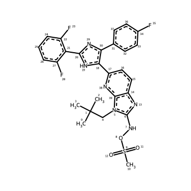 CC(C)(C)Cn1c(NOS(C)(=O)=O)nc2ccc(-c3[nH]c(-c4c(F)cccc4F)nc3-c3ccc(F)cc3)nc21